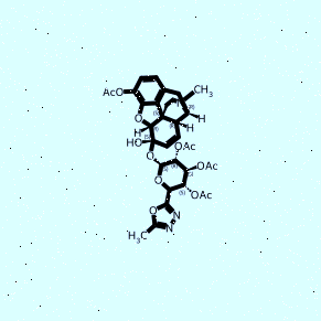 CC(=O)Oc1ccc2c3c1O[C@@H]1[C@]34CCN(C)[C@H](C2)[C@@H]4C=C[C@]1(O)O[C@@H]1OC(c2nnc(C)o2)[C@@H](OC(C)=O)[C@H](OC(C)=O)[C@H]1OC(C)=O